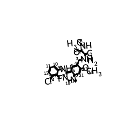 C=C(NCc1cc2c(Nc3cccc(Cl)c3F)ncnc2cc1OC)C(=O)NC